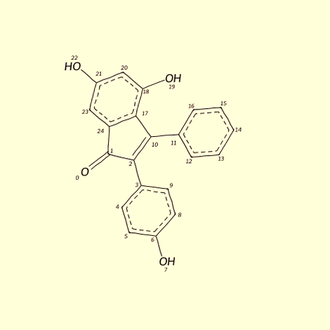 O=C1C(c2ccc(O)cc2)=C(c2ccccc2)c2c(O)cc(O)cc21